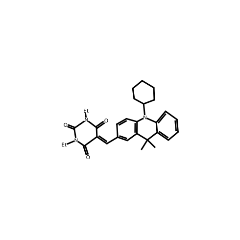 CCN1C(=O)C(=Cc2ccc3c(c2)C(C)(C)c2ccccc2N3C2CCCCC2)C(=O)N(CC)C1=O